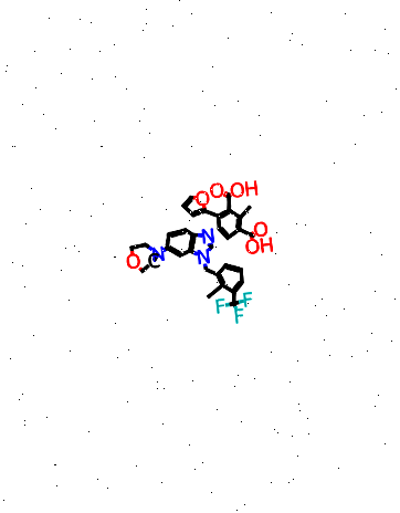 Cc1c(C(=O)O)ccc(-c2ccco2)c1C(=O)O.Cc1c(Cn2cnc3ccc(N4CCOCC4)cc32)cccc1C(F)(F)F